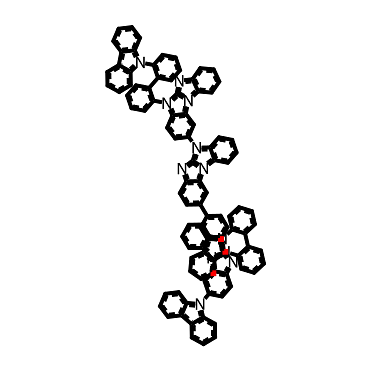 c1ccc(-n2c3ccccc3c3ccccc32)c(-c2ccccc2-n2c3ccc(-n4c5ccccc5n5c6cc(-c7ccc8c(c7)c7ccccc7n8-c7ccccc7-c7ccccc7-n7c8ccccc8n8c9cc(-n%10c%11ccccc%11c%11ccccc%11%10)ccc9nc78)ccc6nc45)cc3n3c4ccccc4nc23)c1